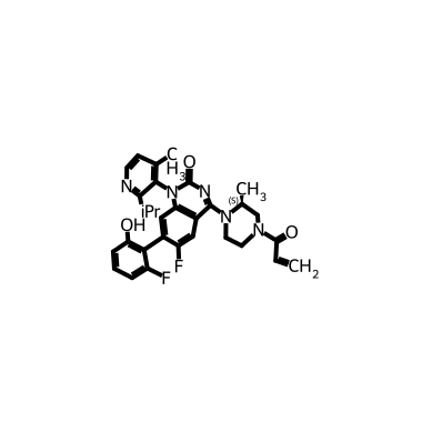 C=CC(=O)N1CCN(c2nc(=O)n(-c3c(C)ccnc3C(C)C)c3cc(-c4c(O)cccc4F)c(F)cc23)[C@@H](C)C1